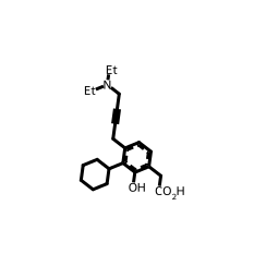 CCN(CC)CC#CCc1ccc(CC(=O)O)c(O)c1C1CCCCC1